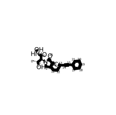 C[C@@H](O)[C@@H](C(=O)NO)N1Cc2ccc(C#Cc3ccccc3)cc2C1=O